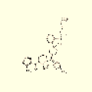 CCC[C@H]1N(C(=O)c2ncccc2C(F)(F)F)CCC[C@@]1(Oc1csc(C(F)(F)F)c1)C(=O)N1CCC(C#N)(c2ccccc2O[C@H](C)CCCC(=O)O)CC1